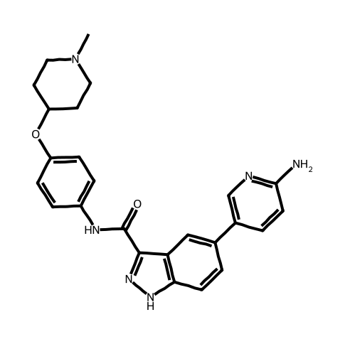 CN1CCC(Oc2ccc(NC(=O)c3n[nH]c4ccc(-c5ccc(N)nc5)cc34)cc2)CC1